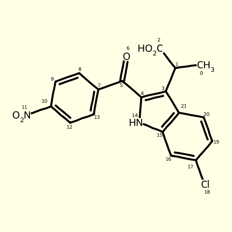 CC(C(=O)O)c1c(C(=O)c2ccc([N+](=O)[O-])cc2)[nH]c2cc(Cl)ccc12